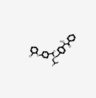 O=C(c1ccccc1)C(O)c1ccc(CN(CC(F)F)C(=O)c2ccc(Oc3ccccc3Cl)cc2)cc1